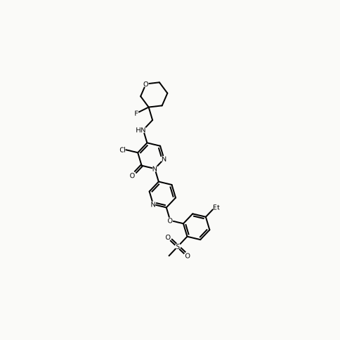 CCc1ccc(S(C)(=O)=O)c(Oc2ccc(-n3ncc(NCC4(F)CCCOC4)c(Cl)c3=O)cn2)c1